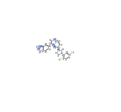 Fc1ccc(F)c(C2CCN(c3ccc4ncc(-c5ccc6cn[nH]c6c5)n4n3)C2)c1